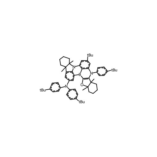 CC(C)(C)c1ccc(N2C3=C(OC4(C)CCCCC34C)B3c4cc(N(c5ccc(C(C)(C)C)cc5)c5ccc(C(C)(C)C)cc5)cc5c4N(c4cc(C(C)(C)C)cc2c43)C2(C)CCCCC52C)cc1